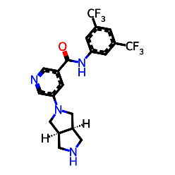 O=C(Nc1cc(C(F)(F)F)cc(C(F)(F)F)c1)c1cncc(N2C[C@H]3CNC[C@H]3C2)c1